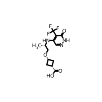 C[C@@H](CO[C@H]1C[C@@H](C(=O)O)C1)Nc1cn[nH]c(=O)c1C(F)(F)F